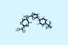 COC(=O)c1ncc(Nc2ncc(-c3ccc(C(F)(F)F)cc3)o2)cn1